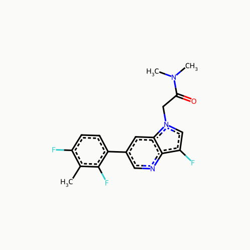 Cc1c(F)ccc(-c2cnc3c(F)cn(CC(=O)N(C)C)c3c2)c1F